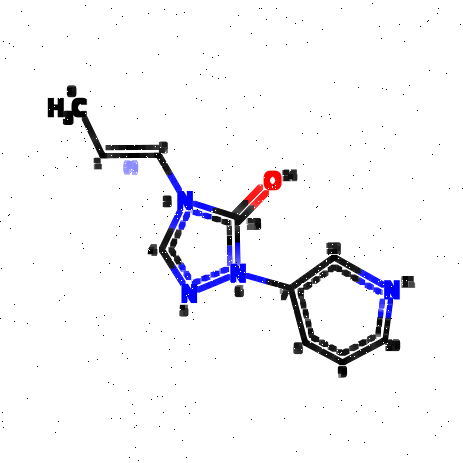 C/C=C/n1cnn(-c2cccnc2)c1=O